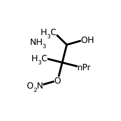 CCCC(C)(O[N+](=O)[O-])C(C)O.N